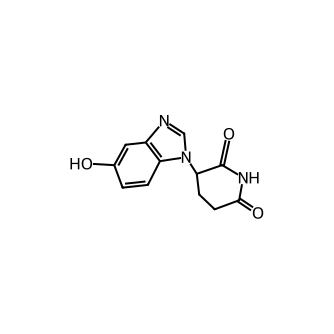 O=C1CCC(n2cnc3cc(O)ccc32)C(=O)N1